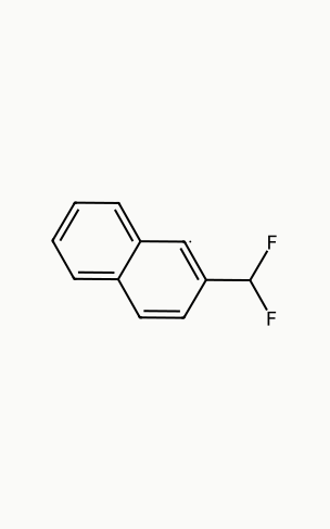 FC(F)c1[c]c2ccccc2cc1